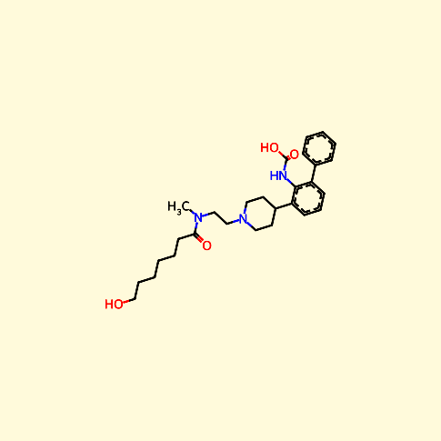 CN(CCN1CCC(c2cccc(-c3ccccc3)c2NC(=O)O)CC1)C(=O)CCCCCCO